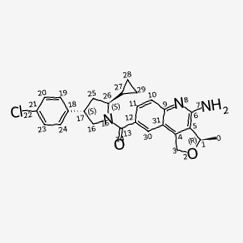 C[C@H]1OCc2c1c(N)nc1ccc(C(=O)N3C[C@H](c4ccc(Cl)cc4)C[C@H]3C3CC3)cc21